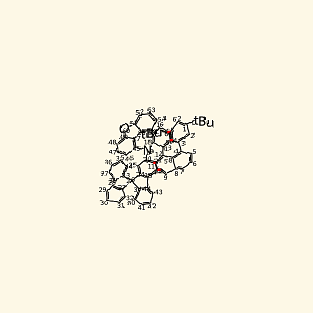 CC(C)(C)c1cc(-c2cccc3cccc(-c4ccccc4N(c4ccc5c(c4)C(c4ccccc4)(c4ccccc4)c4ccccc4-5)c4cccc5oc6ccccc6c45)c23)cc(C(C)(C)C)c1